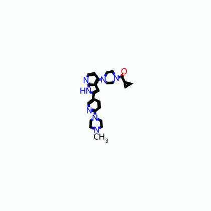 CN1CCN(c2ccc(-c3cc4c(N5CCN(C(=O)C6CC6)CC5)ccnc4[nH]3)cn2)CC1